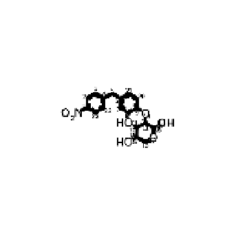 O=[N+]([O-])c1ccc(Cc2ccc(O[C@@H]3[C@@H](O)[C@H](O)CO[C@H]3O)cc2)cc1